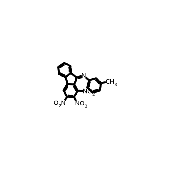 Cc1cccc(N=C2c3ccccc3-c3cc([N+](=O)[O-])c([N+](=O)[O-])c([N+](=O)[O-])c32)c1